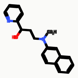 O=C(O)N(CCC(O)c1ccccn1)c1ccc2ccccc2c1